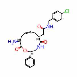 N[C@H]1CC=CC[C@@H](CC(=O)NCc2ccc(Cl)cc2)C(=O)NC[C@@H](c2ccccc2)OC1=O